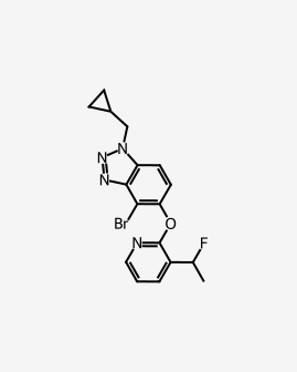 CC(F)c1cccnc1Oc1ccc2c(nnn2CC2CC2)c1Br